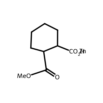 COC(=O)C1CCCCC1C(=O)O.[Zn]